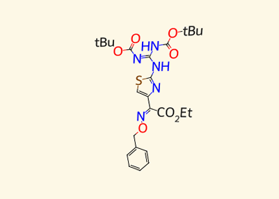 CCOC(=O)/C(=N\OCc1ccccc1)c1csc(N/C(=N/C(=O)OC(C)(C)C)NC(=O)OC(C)(C)C)n1